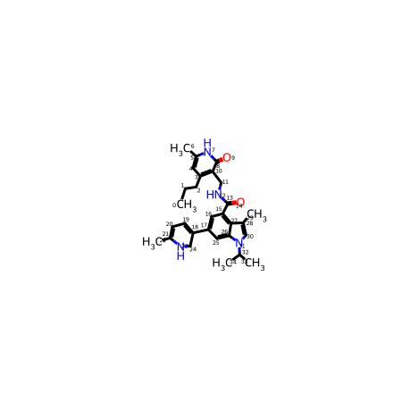 CCCc1cc(C)[nH]c(=O)c1CNC(=O)c1cc(C2=CC=C(C)NC2)cc2c1c(C)cn2C(C)C